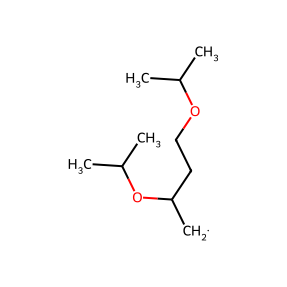 [CH2]C(CCOC(C)C)OC(C)C